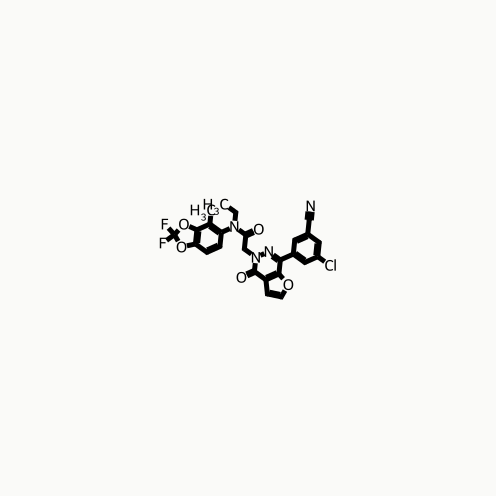 CCN(C(=O)Cn1nc(-c2cc(Cl)cc(C#N)c2)c2occc2c1=O)c1ccc2c(c1C)OC(F)(F)O2